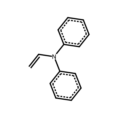 C=CN(c1ccccc1)c1ccccc1